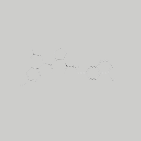 CC(=O)NC(C(=O)N1CCC[C@H]1C(=O)NCc1ccc2c(N)nccc2c1)c1ccc(Br)cc1